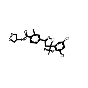 Cc1cc(C2=NOC(c3cc(Cl)cc(Cl)c3)(C(F)(F)F)C2)ccc1C(=O)NC1CSSC1